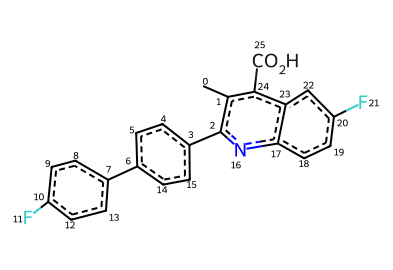 Cc1c(-c2ccc(-c3ccc(F)cc3)cc2)nc2ccc(F)cc2c1C(=O)O